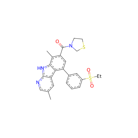 CCS(=O)(=O)c1cccc(-c2cc(C(=O)N3CCSC3)c(C)c3[nH]c4ncc(C)cc4c23)c1